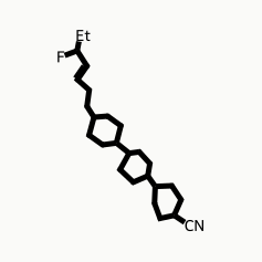 CCC(F)C=CCCC1CCC(C2CCC(C3CCC(C#N)CC3)CC2)CC1